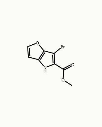 COC(=O)c1[nH]c2ccoc2c1Br